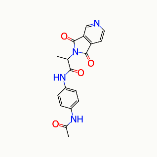 CC(=O)Nc1ccc(NC(=O)C(C)N2C(=O)c3ccncc3C2=O)cc1